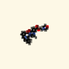 Cc1cc2c3n1C(c1ccccc1)=CN(n1c(C)nc4cc(C(=O)OCCN5CCOCC5)ccc4c1=O)C(=O)C3=CCC2